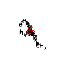 CCCCC/C=C\C/C=C\CCCCCCCC(=O)OCC(COC(=O)CCCCCCCCCCCCCCC)OC(=O)C(C)(C)C